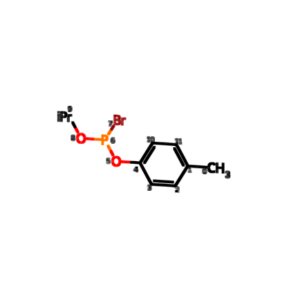 Cc1ccc(OP(Br)OC(C)C)cc1